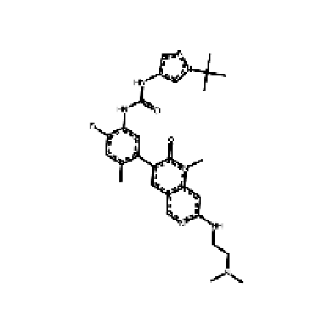 Cc1cc(F)c(NC(=O)Nc2cnn(C(C)(C)C)c2)cc1-c1cc2cnc(NCCN(C)C)cc2n(C)c1=O